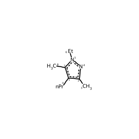 CCCc1c(C)nn(CC)c1C